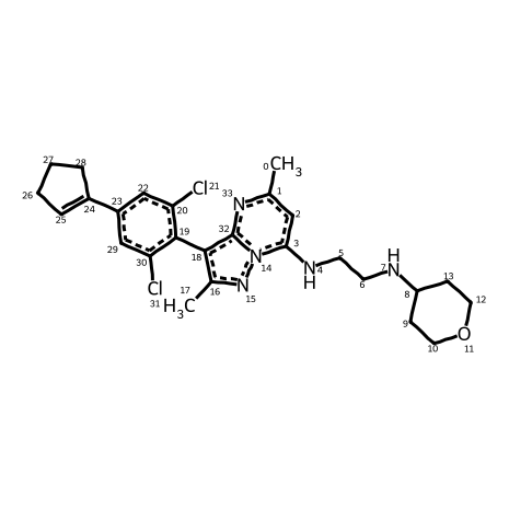 Cc1cc(NCCNC2CCOCC2)n2nc(C)c(-c3c(Cl)cc(C4=CCCC4)cc3Cl)c2n1